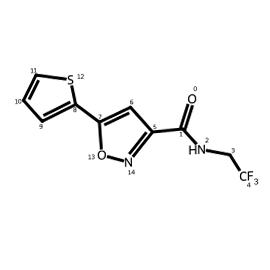 O=C(NCC(F)(F)F)c1cc(-c2cccs2)on1